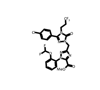 COC(=O)c1nc(Cn2nc(-c3ccc(Cl)cc3)n(CCC(F)(F)F)c2=O)nn1-c1ccccc1OC(F)F